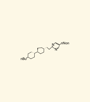 CCCCCCCCCc1cnc(CC[C@H]2CC[C@H]([C@H]3CC[C@H](CCCC)CC3)CC2)nc1